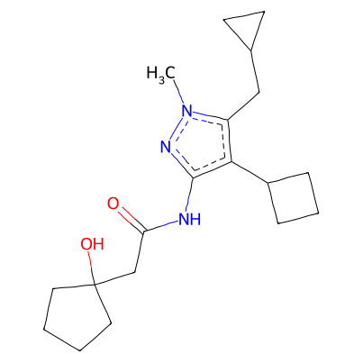 Cn1nc(NC(=O)CC2(O)CCCC2)c(C2CCC2)c1CC1CC1